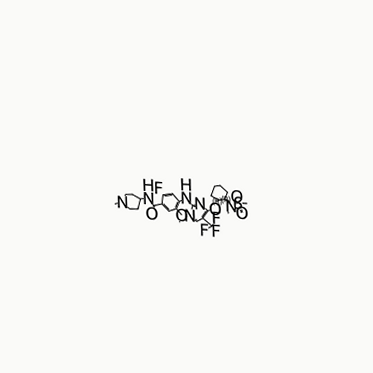 COc1cc(C(=O)NC2CCN(C)CC2)c(F)cc1Nc1ncc(C(F)(F)F)c(O[C@@H]2CCCC[C@H]2N(C)S(C)(=O)=O)n1